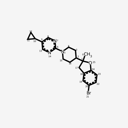 CC1(C2CCN(c3ncc(C4CC4)cn3)CC2)Cc2cc(Br)ccc2O1